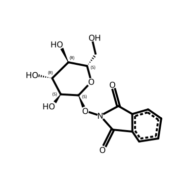 O=C1c2ccccc2C(=O)N1O[C@@H]1O[C@@H](CO)[C@H](O)[C@@H](O)[C@@H]1O